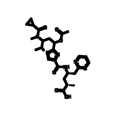 CC(=O)OC(CC(C(C)C)N(C)C(=O)C1CC1)c1nc(C(=O)N[C@@H](Cc2ncccn2)C[C@H](C)C(=O)O)cs1